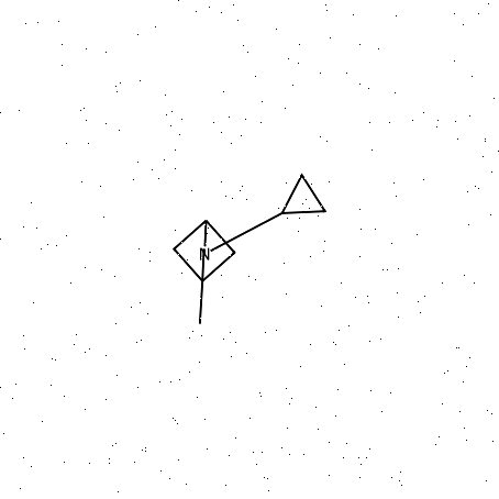 CC12CC(C1)N(C1CC1)C2